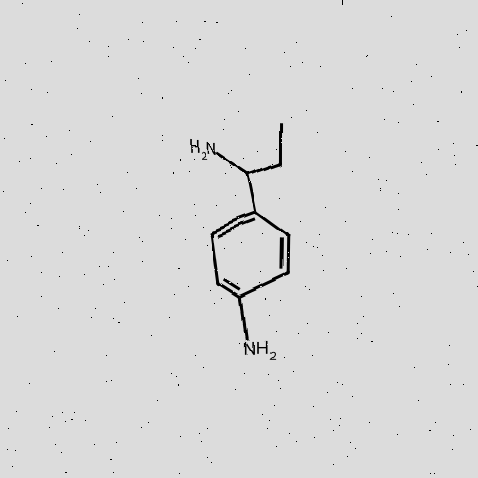 CCC(N)c1ccc(N)cc1